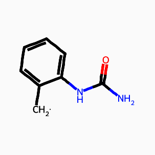 [CH2]c1ccccc1NC(N)=O